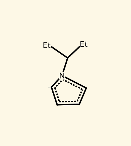 CCC(CC)n1[c]ccc1